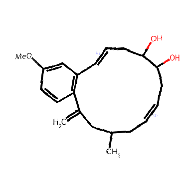 C=C1CC(C)C/C=C\CC(O)C(O)C/C=C/c2cc(OC)ccc21